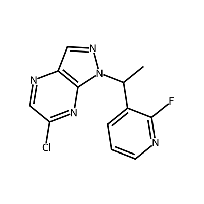 CC(c1cccnc1F)n1ncc2ncc(Cl)nc21